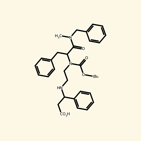 CN(Cc1ccccc1)C(=O)C(Cc1ccccc1)N(CCNC(CC(=O)O)c1ccccc1)C(=O)OC(C)(C)C